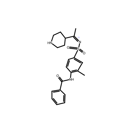 C/C(=N/S(=O)(=O)c1ccc(NC(=O)c2ccccc2)c(C)c1)C1CCNCC1